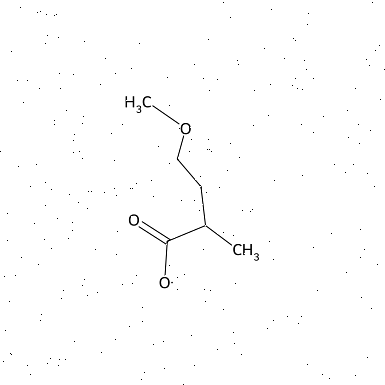 COCCC(C)C([O])=O